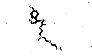 CCN(CCCC(C)Nc1ccnc2cc(Cl)ccc12)CCSCCN